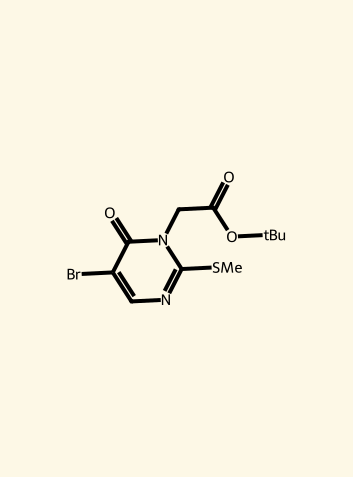 CSc1ncc(Br)c(=O)n1CC(=O)OC(C)(C)C